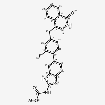 COC(=O)Nc1nc2ccc(-c3ccc(Cc4n[nH]c(=O)c5ccccc45)cc3F)cc2[nH]1